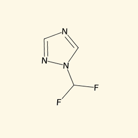 FC(F)n1cncn1